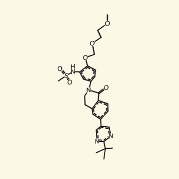 COCCOCOc1ccc(N2CCc3cc(-c4cnc(C(C)(C)C)nc4)ccc3C2=O)cc1NS(C)(=O)=O